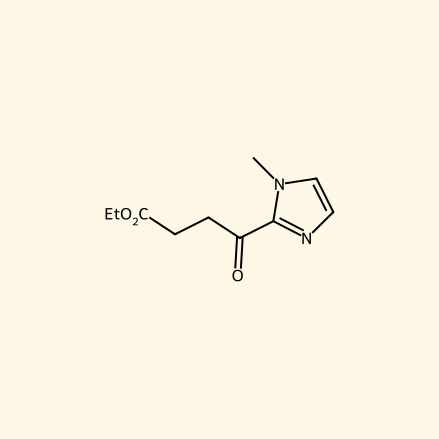 CCOC(=O)CCC(=O)c1nccn1C